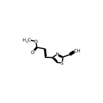 C#Cc1nc(/C=C/C(=O)OC)cs1